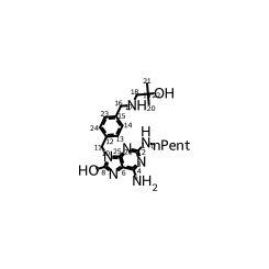 CCCCCNc1nc(N)c2nc(O)n(Cc3ccc(CNCC(C)(C)O)cc3)c2n1